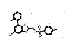 Cc1ccc(S(=O)(=O)OCC2Cc3cc(Cl)cc(-c4ccccc4C)c3O2)cc1